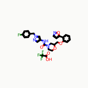 O=C(Nc1cnn(Cc2ccc(F)cc2)c1)N1CCOC(COc2ccccc2-c2ccno2)C1.O=C(O)C(F)(F)F